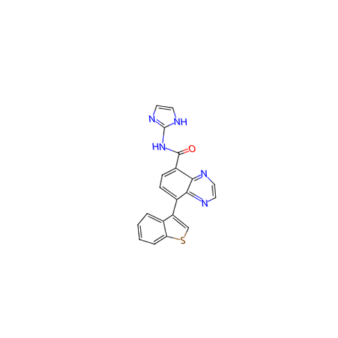 O=C(Nc1ncc[nH]1)c1ccc(-c2csc3ccccc23)c2nccnc12